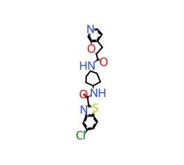 O=C(NC1CCC(NC(=O)C2Cc3ccncc3O2)CC1)c1nc2cc(Cl)ccc2s1